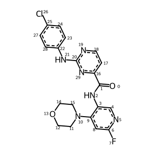 O=C(Nc1cnc(F)cc1N1CCOCC1)c1ccnc(Nc2ccc(Cl)cc2)n1